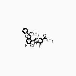 NC[C@@]1(c2ccccc2)Cc2c(cc(F)c(Cl)c2-c2cn3cc(C(N)=O)cc(F)c3n2)O1